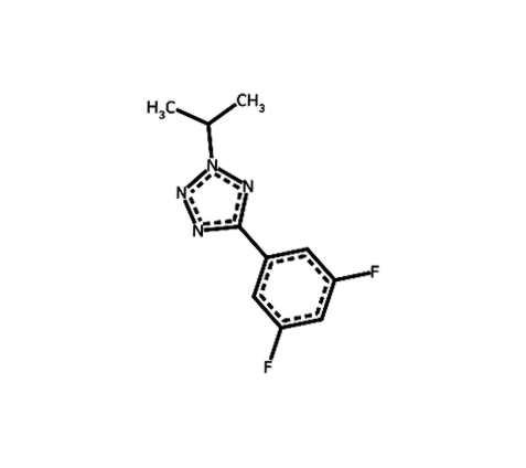 CC(C)n1nnc(-c2cc(F)cc(F)c2)n1